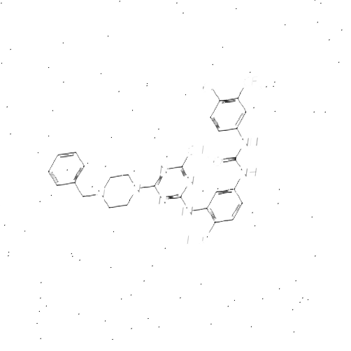 Cc1nc(Nc2cc(NC(=O)Nc3ccc(Cl)c(C(F)(F)F)c3)ccc2C)nc(N2CCN(Cc3ccccc3)CC2)n1